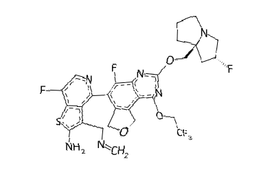 C=NCc1c(N)sc2c(F)cnc(-c3c4c(c5c(OCC(F)(F)F)nc(OC[C@@]67CCCN6C[C@H](F)C7)nc5c3F)COC4)c12